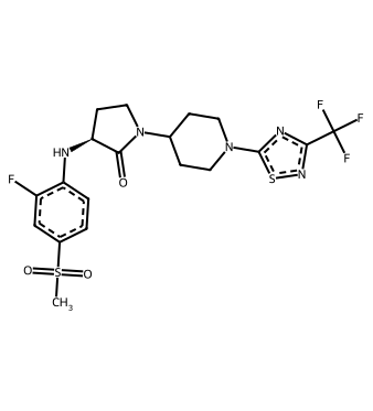 CS(=O)(=O)c1ccc(N[C@H]2CCN(C3CCN(c4nc(C(F)(F)F)ns4)CC3)C2=O)c(F)c1